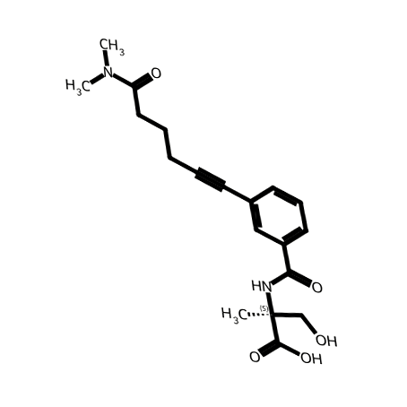 CN(C)C(=O)CCCC#Cc1cccc(C(=O)N[C@@](C)(CO)C(=O)O)c1